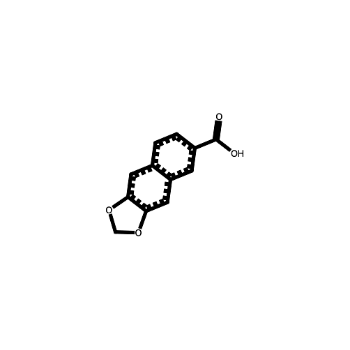 O=C(O)c1ccc2cc3c(cc2c1)OCO3